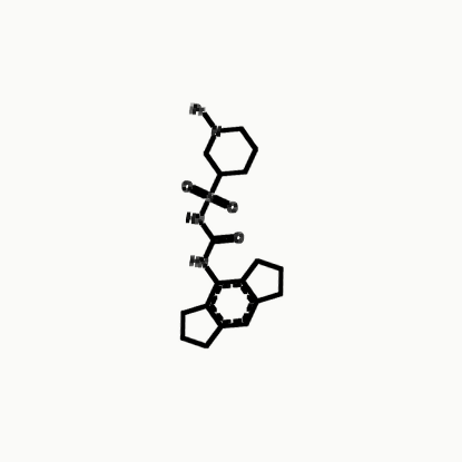 CC(C)N1CCCC(S(=O)(=O)NC(=O)Nc2c3c(cc4c2CCC4)CCC3)C1